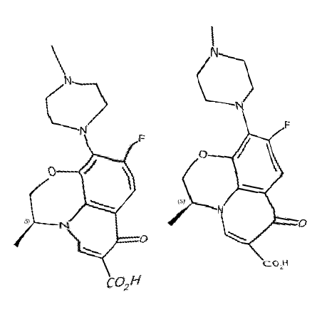 C[C@H]1COc2c(N3CCN(C)CC3)c(F)cc3c(=O)c(C(=O)O)cn1c23.C[C@H]1COc2c(N3CCN(C)CC3)c(F)cc3c(=O)c(C(=O)O)cn1c23